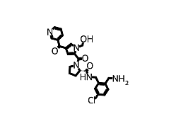 NCc1ccc(Cl)cc1CNC(=O)[C@@H]1CCCN1C(=O)c1cc(C(=O)c2cccnc2)cn1CO